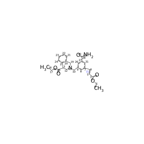 CCOC(=O)/C=C/c1cc(CN(CCC(=O)OCC)Cc2ccccc2)cc(C(N)=O)c1